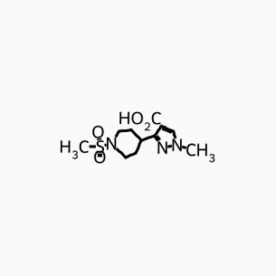 Cn1cc(C(=O)O)c(C2CCN(S(C)(=O)=O)CC2)n1